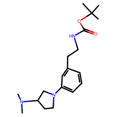 CN(C)C1CCN(c2cccc(CCNC(=O)OC(C)(C)C)c2)C1